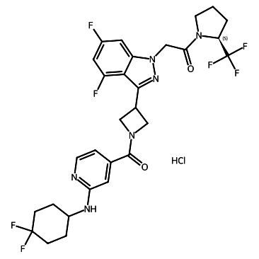 Cl.O=C(c1ccnc(NC2CCC(F)(F)CC2)c1)N1CC(c2nn(CC(=O)N3CCC[C@H]3C(F)(F)F)c3cc(F)cc(F)c23)C1